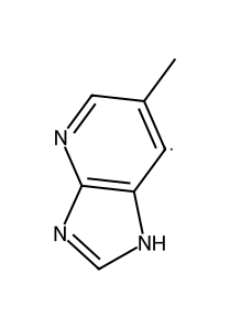 Cc1[c]c2[nH]cnc2nc1